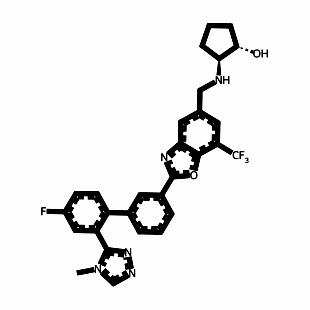 Cn1cnnc1-c1cc(F)ccc1-c1cccc(-c2nc3cc(CN[C@H]4CCC[C@@H]4O)cc(C(F)(F)F)c3o2)c1